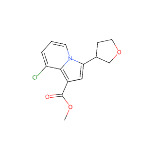 COC(=O)c1cc(C2CCOC2)n2cccc(Cl)c12